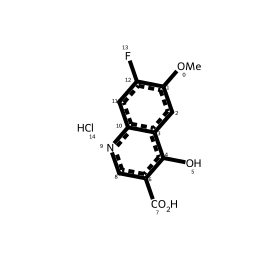 COc1cc2c(O)c(C(=O)O)cnc2cc1F.Cl